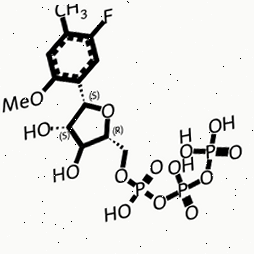 COc1cc(C)c(F)cc1[C@@H]1O[C@H](COP(=O)(O)OP(=O)(O)OP(=O)(O)O)C(O)[C@@H]1O